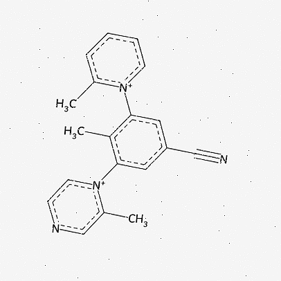 Cc1c(-[n+]2ccccc2C)cc(C#N)cc1-[n+]1ccncc1C